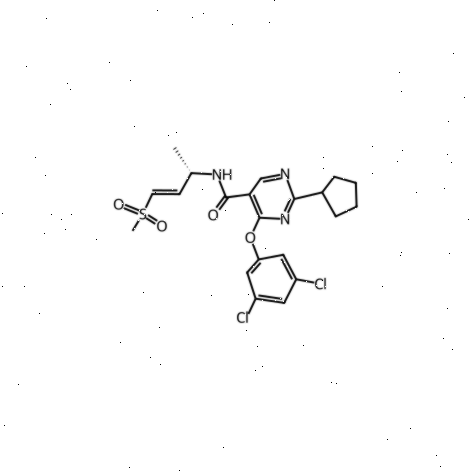 C[C@@H](/C=C/S(C)(=O)=O)NC(=O)c1cnc(C2CCCC2)nc1Oc1cc(Cl)cc(Cl)c1